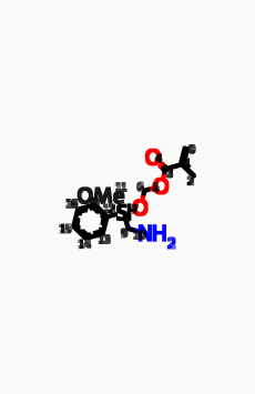 C=C(C)C(=O)OCO[Si](CN)(OC)c1ccccc1